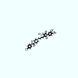 CC1=C(CCCCN2CCN(C(=O)Nc3ccc(Cl)cc3)CC2)C(=O)N(c2ccc(C#N)c(C(F)(F)F)c2)C1=O